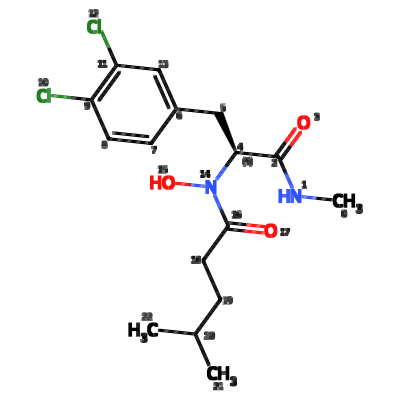 CNC(=O)[C@H](Cc1ccc(Cl)c(Cl)c1)N(O)C(=O)CCC(C)C